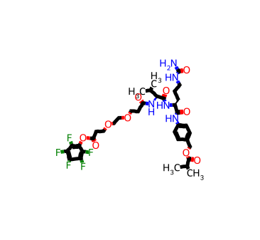 CC(C)C(=O)OCc1ccc(NC(=O)[C@H](CCCNC(N)=O)NC(=O)[C@@H](NC(=O)CCOCCOCCC(=O)Oc2c(F)c(F)c(F)c(F)c2F)C(C)C)cc1